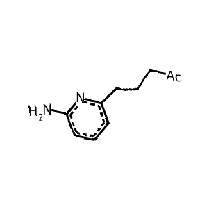 CC(=O)CCCc1cccc(N)n1